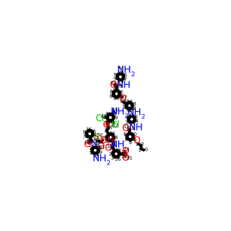 CCCCOc1cccc(C(=O)Nc2ccc(N)cc2)c1.COC(=O)c1cccc(C(=O)Nc2ccc(CCOc3c(Cl)cc(N)cc3Cl)cc2)c1.CSc1ccccc1C(=O)N(CC(=O)O)c1ccc(N)cc1.Nc1ccc(NC(=O)c2cccc(OCc3ccccc3)c2)cc1